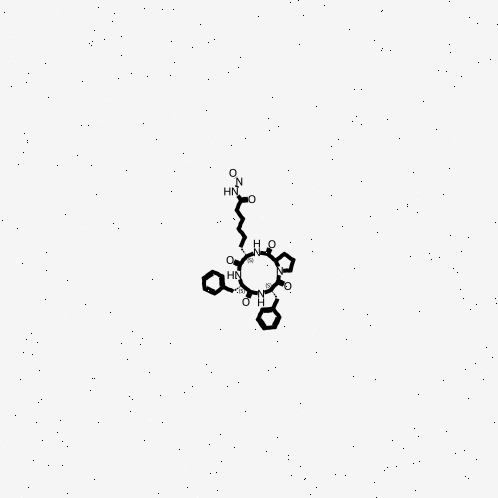 O=NNC(=O)CCCCC[C@@H]1NC(=O)C2CCCN2C(=O)[C@H](Cc2ccccc2)NC(=O)[C@H](Cc2ccccc2)NC1=O